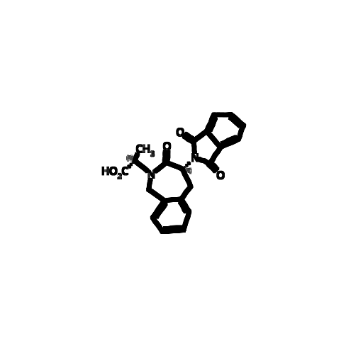 C[C@@H](C(=O)O)N1Cc2ccccc2C[C@@H](N2C(=O)c3ccccc3C2=O)C1=O